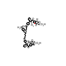 Cc1c(-c2ccc(OCCCCCN(CCCCCOc3ccc(-c4c(C)c(C(=O)c5ccc6c(=O)n(CC(=O)O)c(=O)[nH]c6c5)n5ccccc45)cc3)Cc3ccc(N(C)C)cc3)cc2)c2ccccn2c1C(=O)c1ccc2c(=O)n(CC(=O)O)c(=O)[nH]c2c1